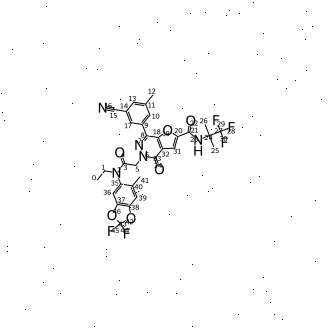 CCN(C(=O)Cn1nc(-c2cc(C)cc(C#N)c2)c2oc(C(=O)NC(C)(C)C(F)(F)F)cc2c1=O)c1cc2c(cc1C)OC(F)(F)O2